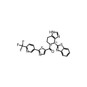 O=C(c1cnc(-c2ccc(C(F)(F)F)nc2)s1)N1CCc2[nH]cnc2[C@H]1c1nc2ccccc2s1